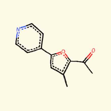 CC(=O)c1oc(-c2ccncc2)cc1C